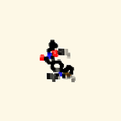 COC1(CN2CC3(CCC(c4cccs4)(N(C)C)CC3)CC2=O)CCC1